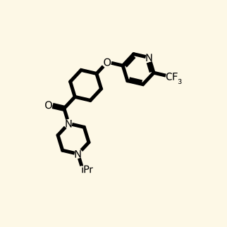 CC(C)N1CCN(C(=O)C2CCC(Oc3ccc(C(F)(F)F)nc3)CC2)CC1